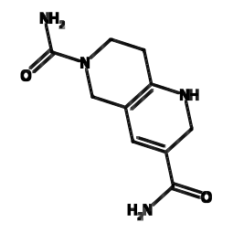 NC(=O)C1=CC2=C(CCN(C(N)=O)C2)NC1